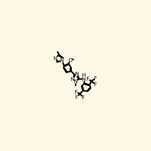 COc1cc(-c2nc(Nc3cc(C(F)(F)F)ccc3C(F)(F)F)n(C)n2)ccc1-n1cnc(C)c1